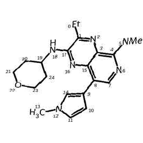 CCc1nc2c(NC)ncc(-c3ccn(C)c3)c2nc1NC1CCOCC1